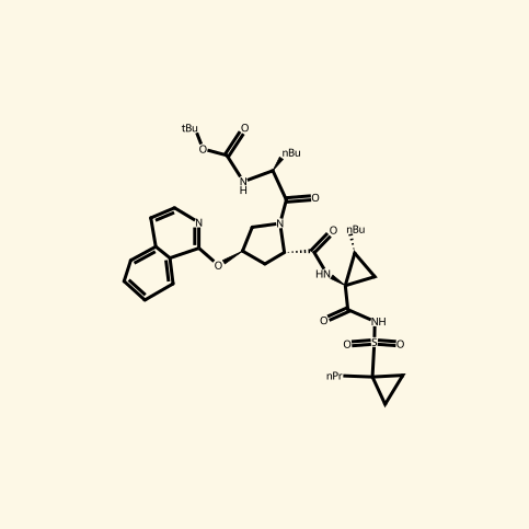 CCCC[C@@H]1C[C@]1(NC(=O)[C@@H]1C[C@@H](Oc2nccc3ccccc23)CN1C(=O)[C@H](CCCC)NC(=O)OC(C)(C)C)C(=O)NS(=O)(=O)C1(CCC)CC1